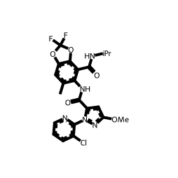 COc1cc(C(=O)Nc2c(C)cc3c(c2C(=O)NC(C)C)OC(F)(F)O3)n(-c2ncccc2Cl)n1